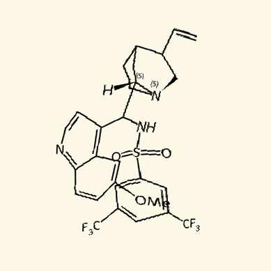 C=CC1C[N@@]2CCC1C[C@H]2C(NS(=O)(=O)c1cc(C(F)(F)F)cc(C(F)(F)F)c1)c1ccnc2ccc(OC)cc12